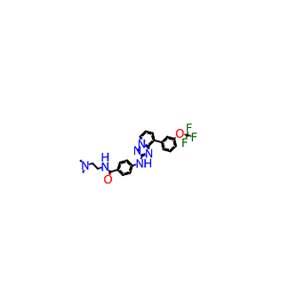 CN(C)CCNC(=O)c1ccc(Nc2nc3c(-c4cccc(OC(F)(F)F)c4)cccn3n2)cc1